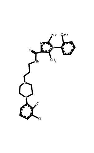 CCCc1nc(C(=O)NCCCN2CCN(c3cccc(Cl)c3Cl)CC2)c(C)n1-c1ccccc1OC